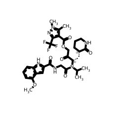 COc1cccc2[nH]c(C(=O)NCC(=O)N(C(C)C)[C@@H](C[C@@H]3CCCNC3=O)C(=O)COC(=O)c3c(C(F)(F)F)nn(C)c3C)cc12